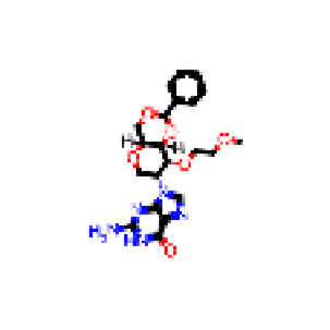 COCCO[C@@H]1[C@@H]2OC(c3ccccc3)OC[C@H]2OC[C@H]1n1cnc2c(=O)[nH]c(N)nc21